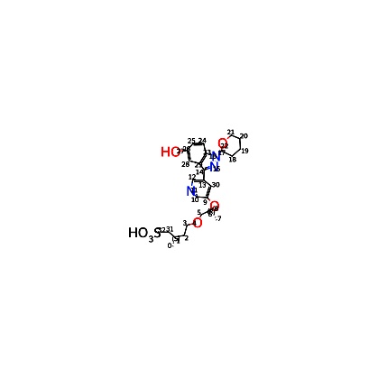 C[C@@H](CCOC[C@@H](C)Oc1cncc(-c2nn(C3CCCCO3)c3ccc(O)cc23)c1)CS(=O)(=O)O